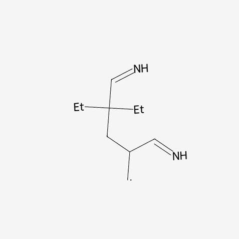 [CH2]C(C=N)CC(C=N)(CC)CC